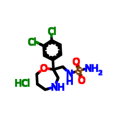 Cl.NS(=O)(=O)NCC1(c2ccc(Cl)c(Cl)c2)CNCCCO1